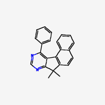 CC1(C)c2ccc3ccccc3c2-c2c(-c3ccccc3)ncnc21